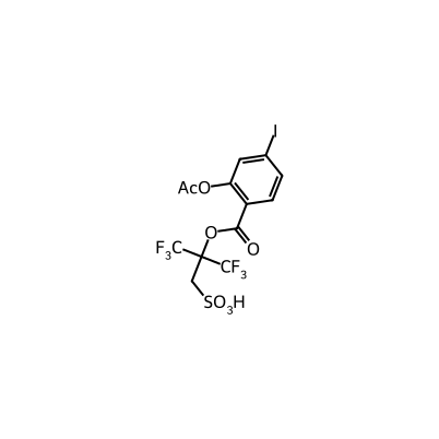 CC(=O)Oc1cc(I)ccc1C(=O)OC(CS(=O)(=O)O)(C(F)(F)F)C(F)(F)F